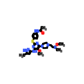 COc1c(Nc2cc(C)[nH]n2)nc(Sc2ccc(NC(C)=O)cc2)nc1N1CCN(CCN(C)OC)CC1